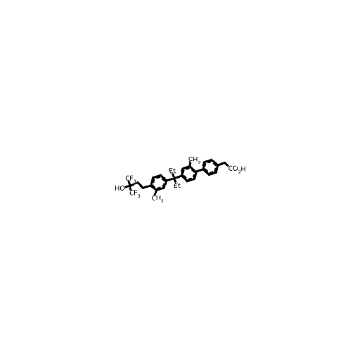 CCC(CC)(c1ccc(CCC(O)(C(F)(F)F)C(F)(F)F)c(C)c1)c1ccc(-c2ccc(CC(=O)O)cc2)c(C)c1